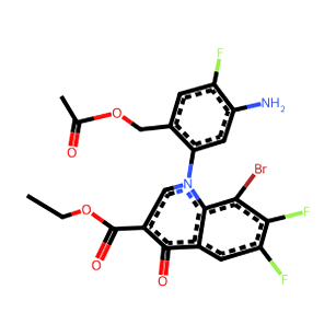 CCOC(=O)c1cn(-c2cc(N)c(F)cc2COC(C)=O)c2c(Br)c(F)c(F)cc2c1=O